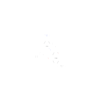 COc1ccc(C2=C3C(=O)CC(C)(C)CC3N(c3ccc(CN)cc3)C3CC(C)(C)CC(=O)C23)cc1